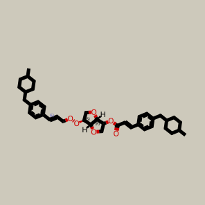 CC1CCC(Cc2ccc(C=CC(=O)OC3CO[C@@H]4[C@@H](OOC/C=C/c5ccc(CC6CCC(C)CC6)cc5)CO[C@H]34)cc2)CC1